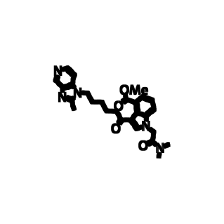 COC(=O)c1cccc2c1c(C(=O)CCCCCn1c(C)nc3cnccc31)cn2CC(=O)N(C)C